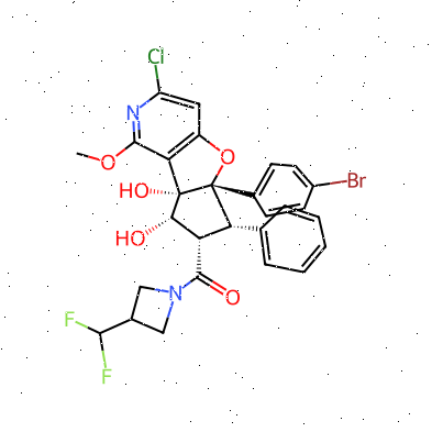 COc1nc(Cl)cc2c1[C@]1(O)[C@@H](O)[C@@H](C(=O)N3CC(C(F)F)C3)[C@@H](c3ccccc3)[C@@]1(c1ccc(Br)cc1)O2